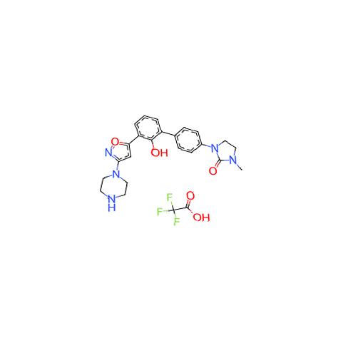 CN1CCN(c2ccc(-c3cccc(-c4cc(N5CCNCC5)no4)c3O)cc2)C1=O.O=C(O)C(F)(F)F